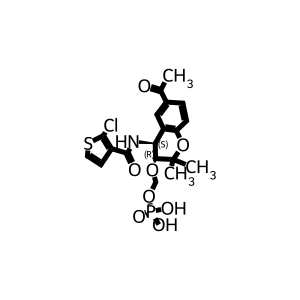 CC(=O)c1ccc2c(c1)[C@H](NC(=O)c1ccsc1Cl)[C@@H](OCOP(=O)(O)O)C(C)(C)O2